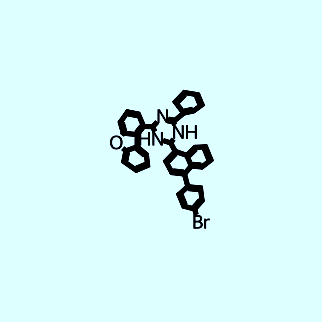 Brc1ccc(-c2ccc(C3NC(c4ccccc4)=NC(c4cccc5oc6ccccc6c45)N3)c3ccccc23)cc1